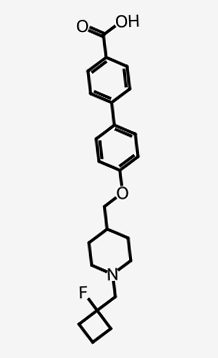 O=C(O)c1ccc(-c2ccc(OCC3CCN(CC4(F)CCC4)CC3)cc2)cc1